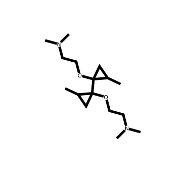 CC1CC1(OCCN(C)C)C1(OCCN(C)C)CC1C